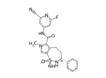 Cn1cc2c(c1C(=O)Nc1cc(F)nc(C#N)c1)CC[C@H](c1ccccc1)NS2(=N)=O